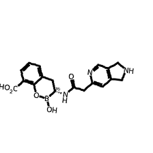 O=C(Cc1cc2c(cn1)CNC2)N[C@H]1Cc2cccc(C(=O)O)c2OB1O